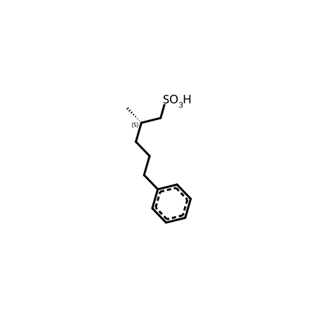 C[C@@H](CCCc1ccccc1)CS(=O)(=O)O